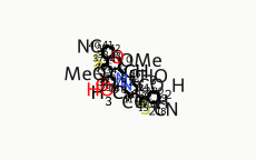 COC(=O)C1=C(C)N(N2C(C)=C(C(=O)O)C(c3csc4c(C#N)cccc34)C(C(=O)O)=C2C=O)C(CO)=C(C(=O)OC)C1c1csc2c(C#N)cccc12